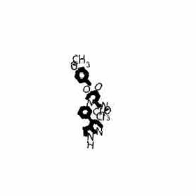 COc1ccc(COc2cn(-c3cccc(-c4c(Cl)cnc5[nH]ccc45)c3)c(C(C)N=O)cc2=O)cc1